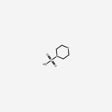 O=S(=O)(O)N1CCSCC1